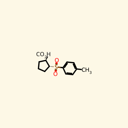 Cc1ccc(S(=O)(=O)[C@@H]2CCC[C@H]2C(=O)O)cc1